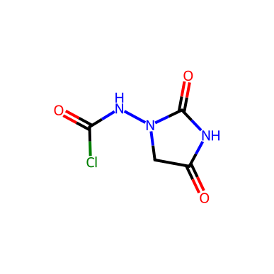 O=C(Cl)NN1CC(=O)NC1=O